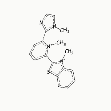 Cn1ccnc1-c1cccc(-c2sc3ccccc3[n+]2C)[n+]1C